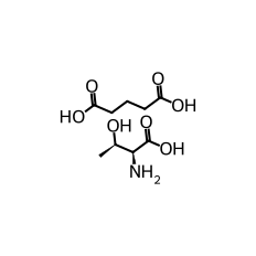 C[C@@H](O)[C@H](N)C(=O)O.O=C(O)CCCC(=O)O